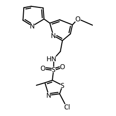 COc1cc(CNS(=O)(=O)c2sc(Cl)nc2C)nc(-c2ccccn2)c1